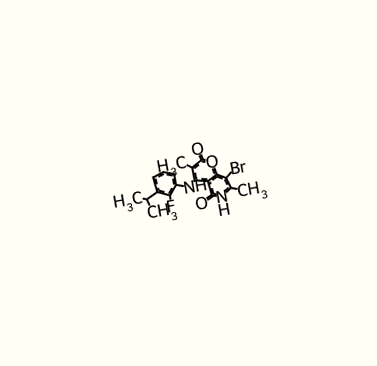 Cc1[nH]c(=O)c2c(Nc3cccc(C(C)C)c3F)c(C)c(=O)oc2c1Br